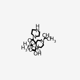 CC(C)N1CCN(C(=O)O)[C@](C(=O)N2CCNCC2)(C(C)(C)C)C1